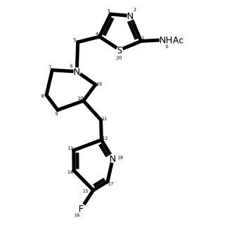 CC(=O)Nc1ncc(CN2CCCC(Cc3ccc(F)cn3)C2)s1